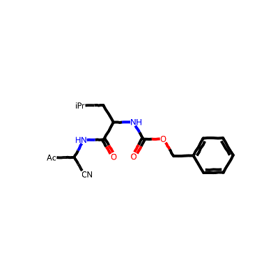 CC(=O)C(C#N)NC(=O)C(CC(C)C)NC(=O)OCc1ccccc1